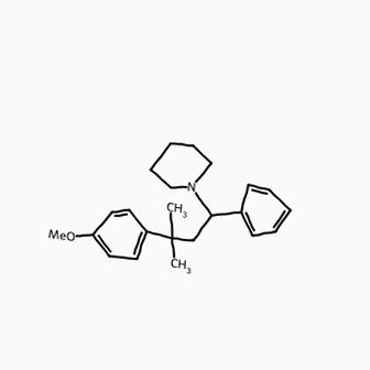 COc1ccc(C(C)(C)CC(c2ccccc2)N2CCCCC2)cc1